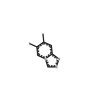 Cc1cc2nncn2cc1I